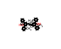 Cc1ccccc1-c1cc(CCC(C)(C)c2cc(-c3ccccc3C)c(O)c(-c3ccccc3C)c2)cc(-c2ccccc2C)c1O